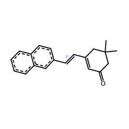 CC1(C)CC(=O)C=C(/C=C/c2ccc3ccccc3c2)C1